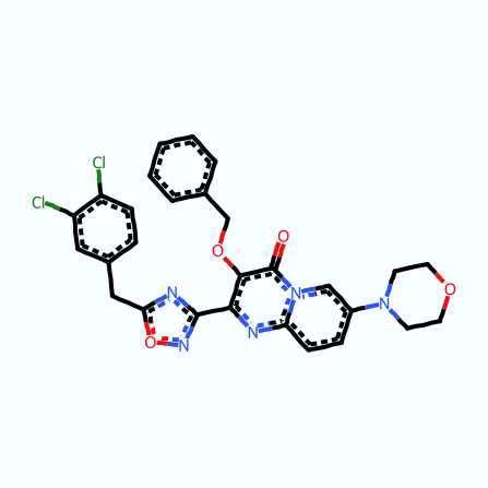 O=c1c(OCc2ccccc2)c(-c2noc(Cc3ccc(Cl)c(Cl)c3)n2)nc2ccc(N3CCOCC3)cn12